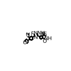 CN(C)Cc1cc(-c2nc(-c3ccc4c(c3)C(F)(F)CNC4=O)c(N)nc2F)ccc1C1CCOCC1